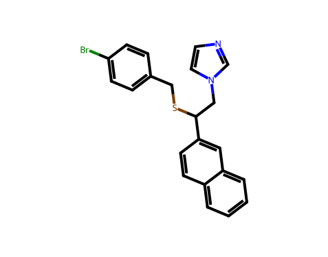 Brc1ccc(CSC(Cn2ccnc2)c2ccc3ccccc3c2)cc1